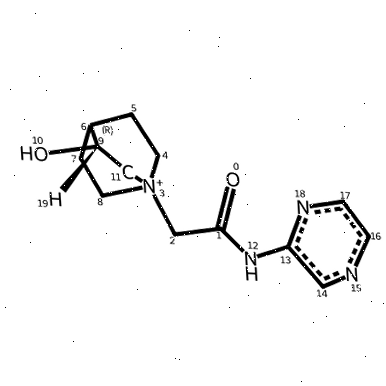 O=C(C[N+]12CCC(CC1)[C@@H](O)C2)Nc1cnccn1